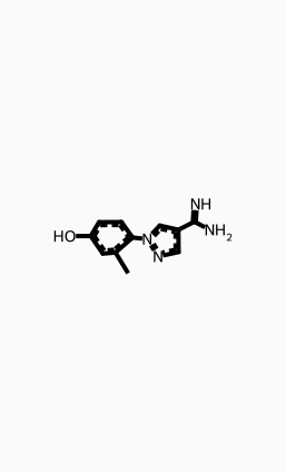 Cc1cc(O)ccc1-n1cc(C(=N)N)cn1